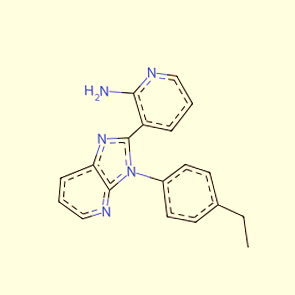 CCc1ccc(-n2c(-c3cccnc3N)nc3cccnc32)cc1